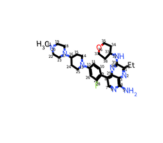 CCc1nc2c(N)ncc(-c3ccc(N4CCC(N5CCN(C)CC5)CC4)cc3F)c2nc1NC1CCOCC1